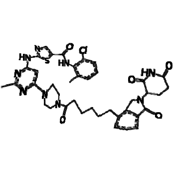 Cc1nc(Nc2ncc(C(=O)Nc3c(C)cccc3Cl)s2)cc(N2CCN(C(=O)CCCCCc3cccc4c3CN(C3CCC(=O)NC3=O)C4=O)CC2)n1